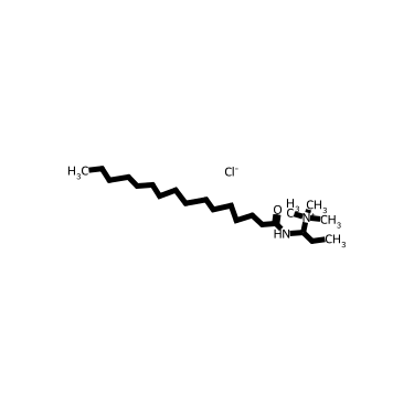 CCCCCCCCCCCCCCCC(=O)NC(CC)[N+](C)(C)C.[Cl-]